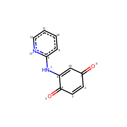 O=C1C=CC(=O)C(Nc2ccccn2)=C1